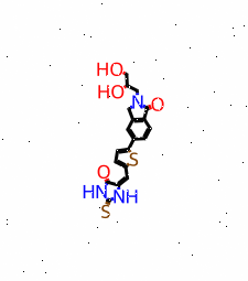 O=C1NC(=S)NC1=Cc1ccc(-c2ccc3c(c2)CN(CC(O)CO)C3=O)s1